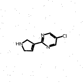 Clc1cnc(C2=CCNC2)nc1